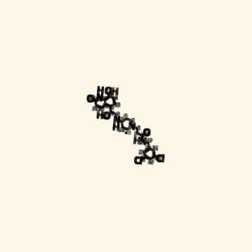 O=C(CCN1CCC(NC[C@H](O)c2ccc(O)c3[nH]c(=O)ccc23)CC1)NCc1cc(Cl)cc(Cl)c1